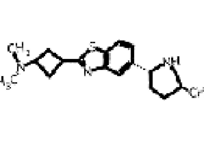 C[C@H]1CC[C@H](c2ccc3sc(C4CC(N(C)C)C4)nc3c2)NC1